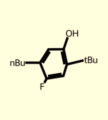 CCCCc1cc(O)c(C(C)(C)C)cc1F